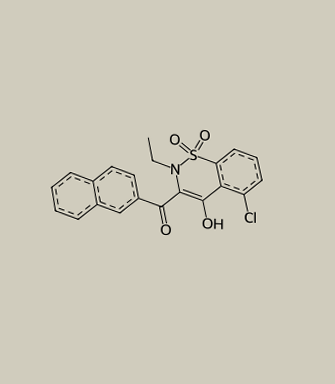 CCN1C(C(=O)c2ccc3ccccc3c2)=C(O)c2c(Cl)cccc2S1(=O)=O